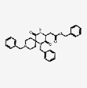 O=C(CC1NC(=O)C2(CCN(Cc3ccccc3)CC2)N(Cc2ccccc2)C1=O)OCc1ccccc1